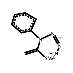 C=C(SC)N(/N=N\N)c1ccccc1